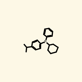 CC(C)c1ccc(P(c2ccccc2)C2CCCCC2)cc1